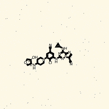 N#Cc1cc(Nc2nc(NC3CC3)c3ncc(C#N)n3n2)c(Cl)c(N2CCC(N[C@@H]3COC[C@@H]3O)CC2)c1